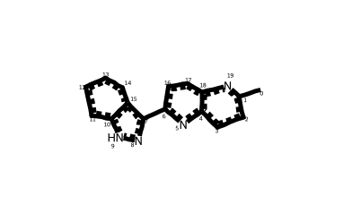 Cc1ccc2nc(-c3n[nH]c4ccccc34)ccc2n1